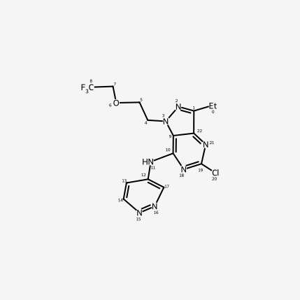 CCc1nn(CCOCC(F)(F)F)c2c(Nc3ccnnc3)nc(Cl)nc12